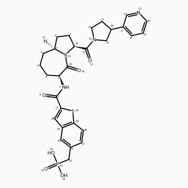 O=C(N[C@H]1CCC[C@H]2CC[C@@H](C(=O)N3CCC(c4cccnc4)C3)N2C1=O)c1cc2cc(CP(=O)(O)O)ccc2s1